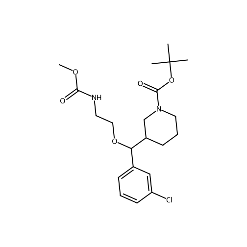 COC(=O)NCCOC(c1cccc(Cl)c1)C1CCCN(C(=O)OC(C)(C)C)C1